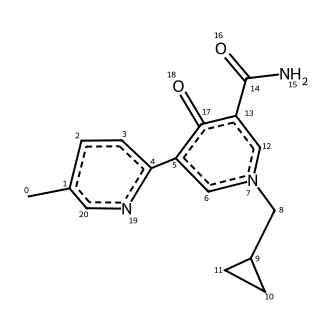 Cc1ccc(-c2cn(CC3CC3)cc(C(N)=O)c2=O)nc1